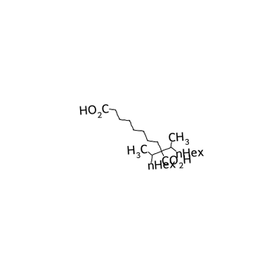 CCCCCCC(C)C(CCCCCCCC(=O)O)(C(=O)O)C(C)CCCCCC